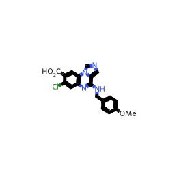 COc1ccc(CNc2nc3cc(Cl)c(C(=O)O)cc3n3cncc23)cc1